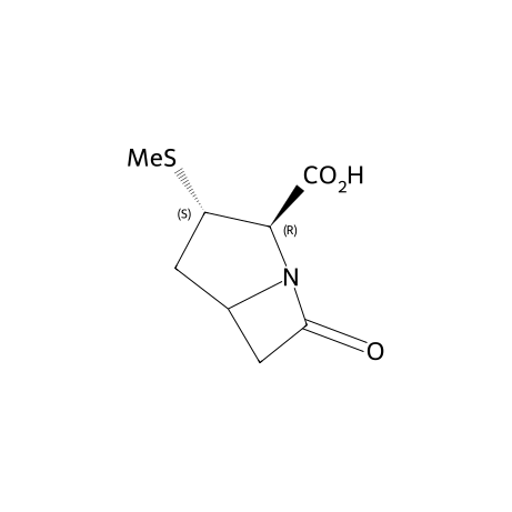 CS[C@H]1CC2CC(=O)N2[C@@H]1C(=O)O